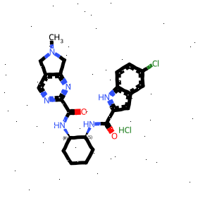 CN1Cc2cnc(C(=O)N[C@@H]3CCCC[C@@H]3NC(=O)c3cc4cc(Cl)ccc4[nH]3)nc2C1.Cl